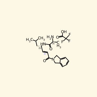 CC(C)C[C@@H](/C=C/C(=O)N1Cc2ccccc2C1)NC(=O)[C@H](C)N.O=C(O)C(F)(F)F